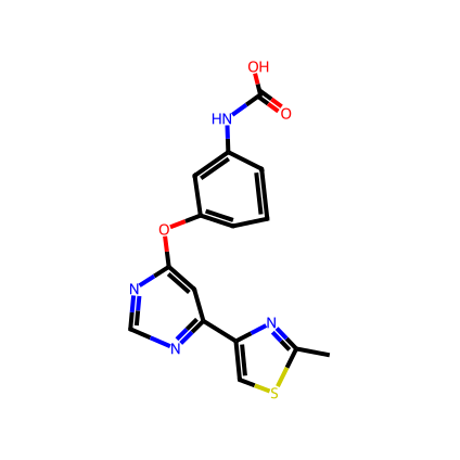 Cc1nc(-c2cc(Oc3cccc(NC(=O)O)c3)ncn2)cs1